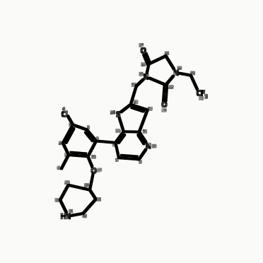 Cc1cc(Cl)cc(-c2ccnc3cc(CN4C(=O)CN(CC(F)(F)F)C4=O)sc23)c1OC1CCNCC1